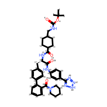 CC(C)(C)OC(=O)NCC1CCC(C(=O)N[C@@H](Cc2ccc(-c3ccccc3C(=O)N3CCCCC3)cc2)C(=O)Nc2ccc(-c3nn[nH]n3)cc2)CC1